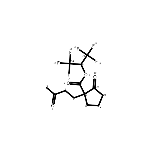 CC(=O)CCC1(C(=O)OC(C(F)(F)F)C(F)(F)F)CCCC1=O